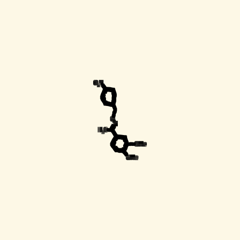 COc1ccc(/C(C)=N/OCc2ccc([N+](=O)[O-])cc2)cc1OC